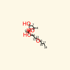 CC(=O)O.CC(O)CCO.CCCCOCCCC